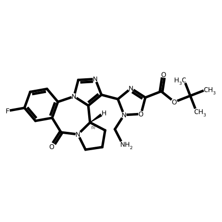 CC(C)(C)OC(=O)C1=NC(c2ncn3c2[C@@H]2CCCN2C(=O)c2cc(F)ccc2-3)N(CN)O1